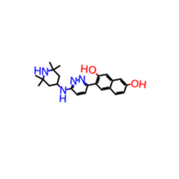 CC1(C)CC(Nc2ccc(-c3cc4ccc(O)cc4cc3O)nn2)CC(C)(C)N1